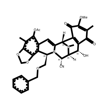 COC1=C(C)C(=O)C2=C(C1=O)[C@H]1C3=Cc4c(OC(C)=O)c(C)c5c(c4[C@H](COCc4ccccc4)N3[C@@H](C#N)[C@H]([C@H]2O)N1C)OCO5